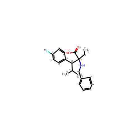 CCC(NCc1ccccc1)(C(=O)O)C(c1ccc(F)cc1)C(C)C